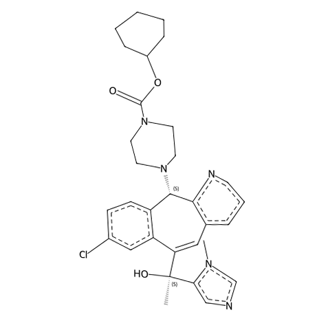 Cn1cncc1[C@@](C)(O)C1=Cc2cccnc2[C@@H](N2CCN(C(=O)OC3CCCCC3)CC2)c2ccc(Cl)cc21